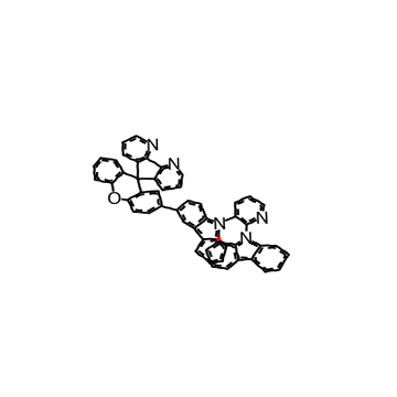 c1ccc2c(c1)Oc1ccc(-c3ccc4c(c3)c3ccccc3n4-c3cccnc3-n3c4ccccc4c4ccccc43)cc1C21c2cccnc2-c2ncccc21